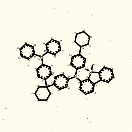 C[Si]1(C)c2ccccc2-c2cccc(N(c3ccc(C4CCCCC4)cc3)c3ccc(C4(c5ccc(N(c6ccccc6)c6ccccc6)cc5)CCCCC4)cc3)c21